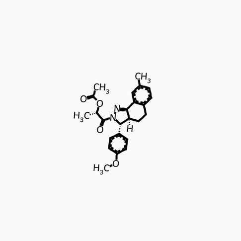 COc1ccc([C@H]2[C@@H]3CCc4ccc(C)cc4C3=NN2C(=O)[C@H](C)OC(C)=O)cc1